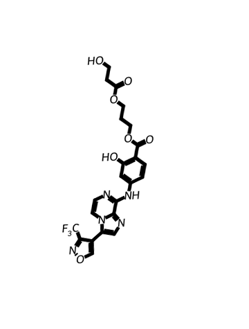 O=C(CCO)OCCCOC(=O)c1ccc(Nc2nccn3c(-c4conc4C(F)(F)F)cnc23)cc1O